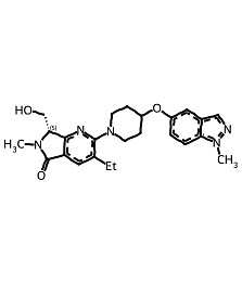 CCc1cc2c(nc1N1CCC(Oc3ccc4c(cnn4C)c3)CC1)[C@@H](CO)N(C)C2=O